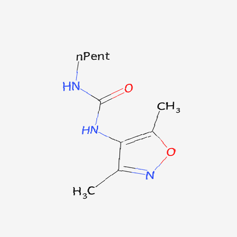 CCCCCNC(=O)Nc1c(C)noc1C